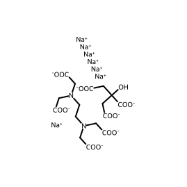 O=C([O-])CC(O)(CC(=O)[O-])C(=O)[O-].O=C([O-])CN(CCN(CC(=O)[O-])CC(=O)[O-])CC(=O)[O-].[Na+].[Na+].[Na+].[Na+].[Na+].[Na+].[Na+]